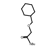 CCCCC(=O)COC[C]1CCCCC1